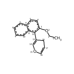 CCOc1ccc2ccccc2c1C1=[C]OC=CC1